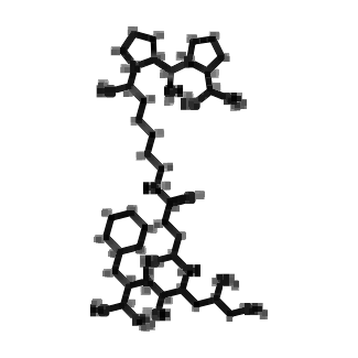 NCC(N)CC(NC(O)CCC(=O)NCCCCCC(O)N1CCCC1C(O)N1CCCC1C(N)O)C(O)NC(CC1CCCCC1)C(N)O